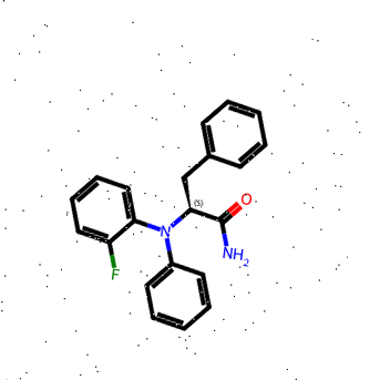 NC(=O)[C@H](Cc1ccccc1)N(c1ccccc1)c1ccccc1F